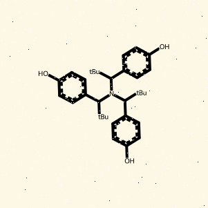 CC(C)(C)C(c1ccc(O)cc1)N(C(c1ccc(O)cc1)C(C)(C)C)C(c1ccc(O)cc1)C(C)(C)C